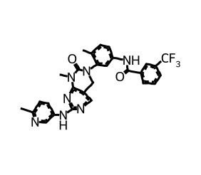 Cc1ccc(Nc2ncc3c(n2)N(C)C(=O)N(c2cc(NC(=O)c4cccc(C(F)(F)F)c4)ccc2C)C3)cn1